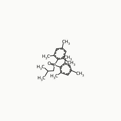 Cc1cc(C)c(P(=O)(CC(C)C)c2c(C)cc(C)cc2C)c(C)c1